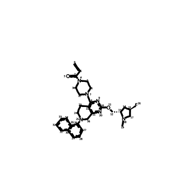 C=CC(=O)N1CCN(c2nc(OC[C@@H]3C[C@@H](F)CN3C)nc3c2CCN(c2cccc4ccccc24)C3)CC1